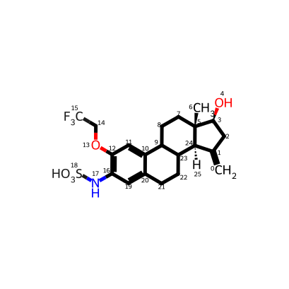 C=C1C[C@H](O)[C@@]2(C)CCC3c4cc(OCC(F)(F)F)c(NS(=O)(=O)O)cc4CCC3[C@H]12